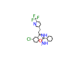 CNC(=O)[C@H](N[C@H](CCc1ccc(C(F)(F)F)nc1)c1cccc(Cl)c1)c1ccccc1